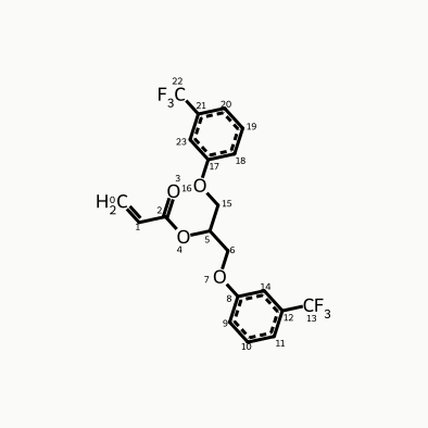 C=CC(=O)OC(COc1cccc(C(F)(F)F)c1)COc1cccc(C(F)(F)F)c1